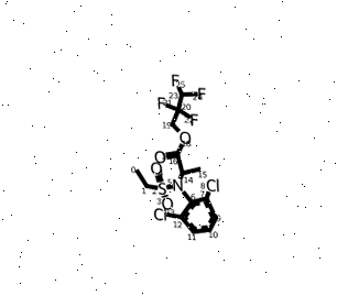 CCS(=O)(=O)N(c1c(Cl)cccc1Cl)C(C)C(=O)OCC(F)(F)C(F)F